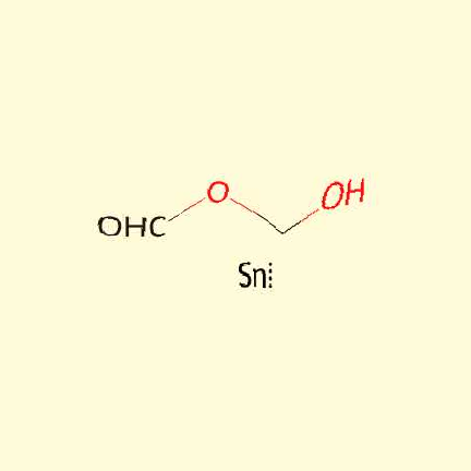 O=COCO.[Sn]